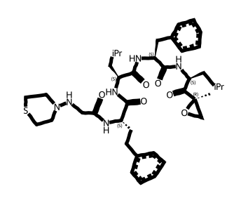 CC(C)C[C@H](NC(=O)[C@H](CCc1ccccc1)NC(=O)CNN1CCSCC1)C(=O)N[C@@H](Cc1ccccc1)C(=O)N[C@@H](CC(C)C)C(=O)[C@@]1(C)CO1